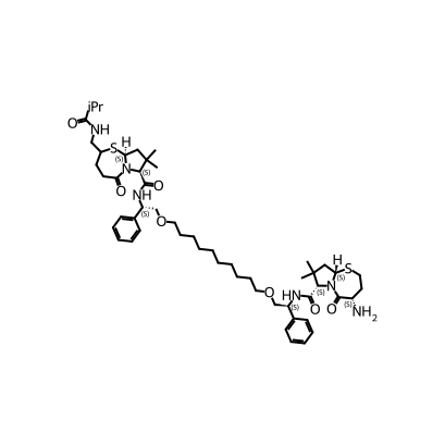 CC(C)C(=O)NCC1CCC(=O)N2[C@H](CC(C)(C)[C@H]2C(=O)N[C@H](COCCCCCCCCCCOC[C@@H](NC(=O)[C@H]2N3C(=O)[C@@H](N)CCS[C@H]3CC2(C)C)c2ccccc2)c2ccccc2)S1